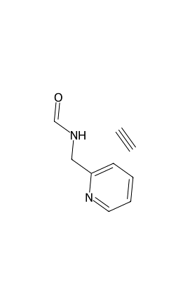 C#C.O=CNCc1ccccn1